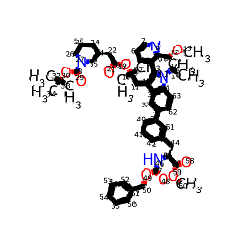 CCn1c(-c2cccnc2[C@H](C)OC)c(CC(C)(C)OC(=O)C[C@@H]2CCCN(C(=O)OC(C)(C)C)C2)c2cc(-c3cccc(C[C@H](NC(=O)OCc4ccccc4)C(=O)OC)c3)ccc21